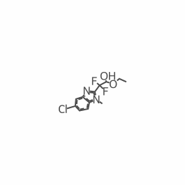 CCOC(O)C(F)(F)c1nc2cc(Cl)ccc2n1C